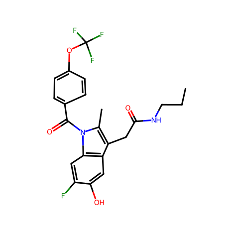 CCCNC(=O)Cc1c(C)n(C(=O)c2ccc(OC(F)(F)F)cc2)c2cc(F)c(O)cc12